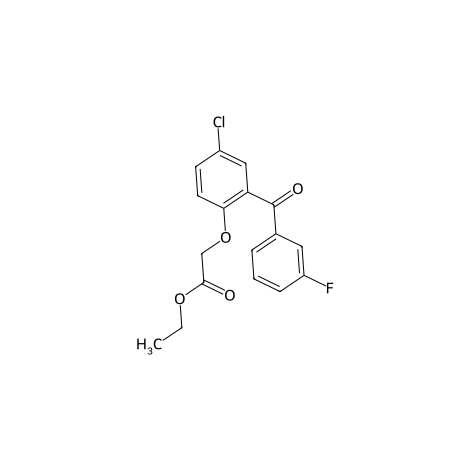 CCOC(=O)COc1ccc(Cl)cc1C(=O)c1cccc(F)c1